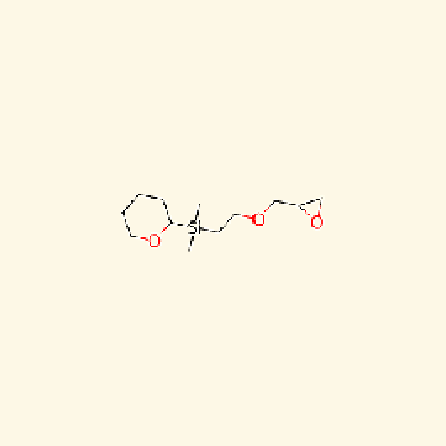 C[Si](C)(CCOCC1CO1)C1CCCCO1